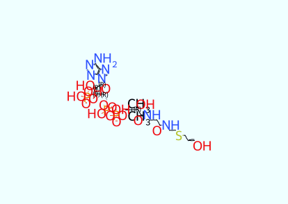 CC(C)(COP(=O)(O)OP(=O)(O)OC[C@H]1O[C@@H](n2cnc3c(N)ncnc32)[C@H](O)[C@@H]1OP(=O)(O)O)[C@@H](O)C(=O)NCCC(=O)NCCSCC=CO